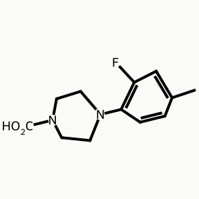 Cc1ccc(N2CCN(C(=O)O)CC2)c(F)c1